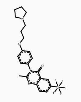 Cc1nc2ccc(S(F)(F)(F)(F)F)cc2c(=O)n1-c1ccc(OCCCN2CCCC2)cc1